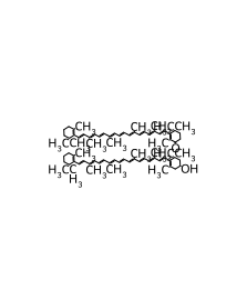 CC1=C(/C=C/C(C)=C/C=C/C(C)=C/C=C/C=C(C)/C=C/C=C(C)/C=C/C2=C(C)C(=O)CCC2(C)C)C(C)(C)CCC1.CC1=C(/C=C/C(C)=C/C=C/C(C)=C/C=C/C=C(C)/C=C/C=C(C)/C=C/C2=C(C)C[C@@H](O)CC2(C)C)C(C)(C)CCC1